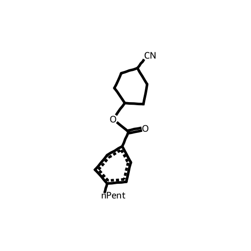 CCCCCc1ccc(C(=O)OC2CCC(C#N)CC2)cc1